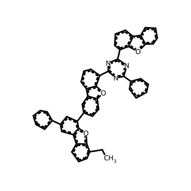 CCc1cccc2c1oc1c(-c3ccc4oc5c(-c6nc(-c7ccccc7)nc(-c7cccc8c7oc7ccccc78)n6)cccc5c4c3)cc(-c3ccccc3)cc12